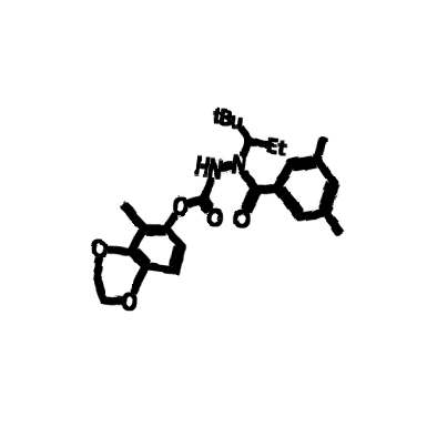 CCC(N(NC(=O)Oc1ccc2c(c1C)OCCO2)C(=O)c1cc(C)cc(C)c1)C(C)(C)C